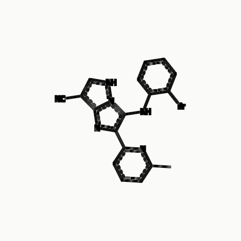 Cc1cccc(-c2nc3c(C#N)c[nH]n3c2Nc2ccccc2Br)n1